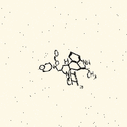 CSc1[nH]c2cccc3c2c1C[C@H]1[C@H]3CC(CC(OC=O)N2CCOCC2)CN1C